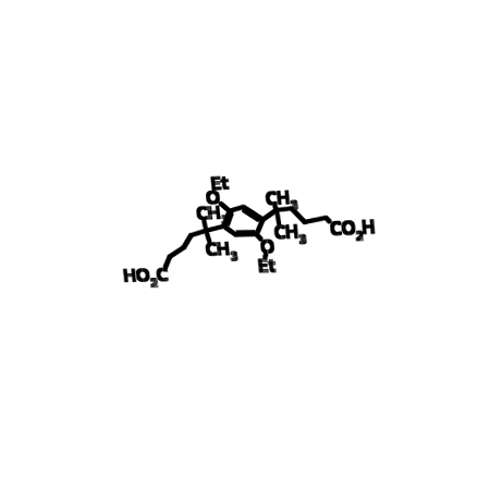 CCOc1cc(C(C)(C)CCCC(=O)O)c(OCC)cc1C(C)(C)CCCC(=O)O